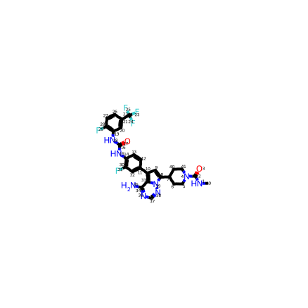 CNC(=O)N1CCC(c2cc(-c3ccc(NC(=O)Nc4cc(C(F)(F)F)ccc4F)c(F)c3)c3c(N)ncnn23)CC1